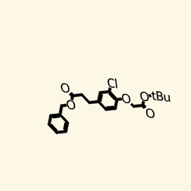 CC(C)(C)OC(=O)COc1ccc(CCC(=O)OCc2ccccc2)cc1Cl